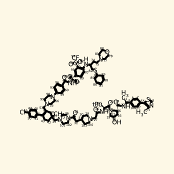 Cc1ncsc1-c1ccc([C@H](C)NC(=O)[C@@H]2C[C@@H](O)CN2C(=O)[C@@H](NC(=O)CN2CCC(CC(=O)N3CCN(CC4(C)CCC(c5ccc(Cl)cc5)=C(CN5CCN(c6ccc(C(=O)NS(=O)(=O)c7ccc(NC(CCN8CCOCC8)CSc8ccccc8)c(S(=O)(=O)C(F)(F)F)c7)cc6)CC5)C4)CC3)CC2)C(C)(C)C)cc1